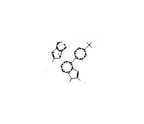 CC1=C2c3cocc3C1[Si]2(C)C.CC1=Cc2c(-c3ccc(C(C)(C)C)cc3)cccc2[CH]1[Zr+2].[Cl-].[Cl-]